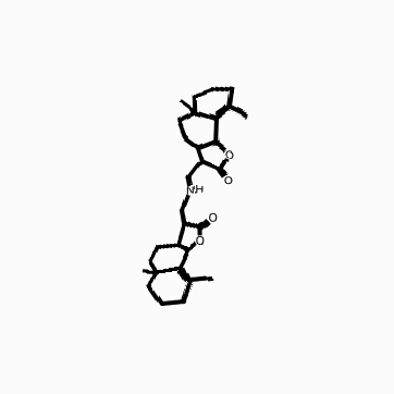 CC1=C2C3OC(=O)C(CNCC4C(=O)OC5C6=C(C)CCCC6(C)CCC45)C3CCC2(C)CCC1